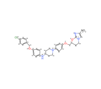 O=[N+]([O-])c1cn2c(n1)OC(COc1ccc(N3CCC(Nc4ccc(OCc5ccc(Cl)cc5)cc4)CC3)cc1)CC2